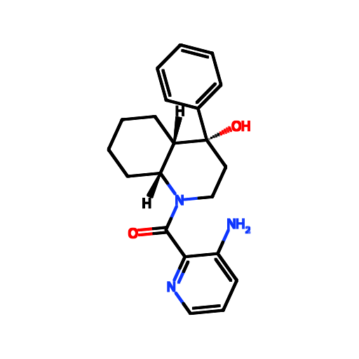 Nc1cccnc1C(=O)N1CC[C@](O)(c2ccccc2)[C@H]2CCCC[C@H]21